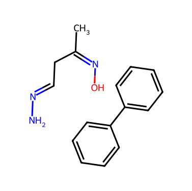 CC(CC=NN)=NO.c1ccc(-c2ccccc2)cc1